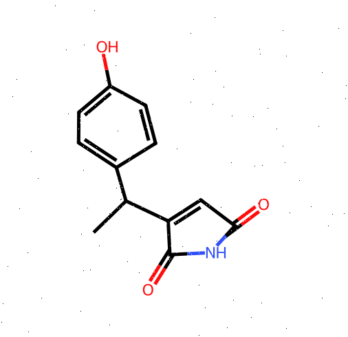 CC(C1=CC(=O)NC1=O)c1ccc(O)cc1